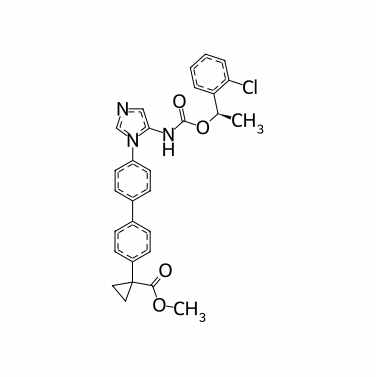 COC(=O)C1(c2ccc(-c3ccc(-n4cncc4NC(=O)O[C@H](C)c4ccccc4Cl)cc3)cc2)CC1